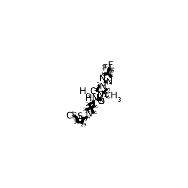 C[C@@H]1CN(c2ncc(C(F)(F)F)cn2)C[C@H](C)N1C(=O)NC1CC2(C1)CN(Cc1ccc(Cl)s1)C2